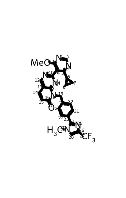 COc1ncnc(C2CC2)c1-c1ncc2ccc(=O)n(Cc3ccc(-c4nc(C(F)(F)F)cn4C)cc3)c2n1